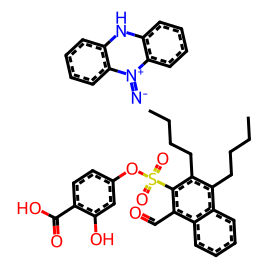 CCCCc1c(S(=O)(=O)Oc2ccc(C(=O)O)c(O)c2)c(C=O)c2ccccc2c1CCCC.[N-]=[N+]1c2ccccc2Nc2ccccc21